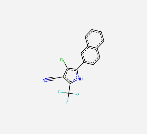 N#Cc1c(C(F)(F)F)[nH]c(-c2ccc3ccccc3c2)c1Cl